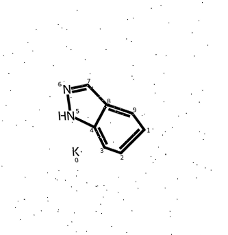 [K].c1ccc2[nH]ncc2c1